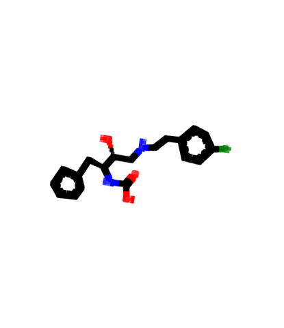 O=C(O)N[C@@H](Cc1ccccc1)[C@H](O)CNCCc1ccc(Br)cc1